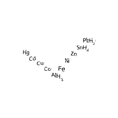 [AlH3].[Cd].[Co].[Cu].[Fe].[Hg].[Ni].[PbH2].[SnH4].[Zn]